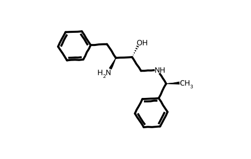 C[C@H](NC[C@@H](O)[C@@H](N)Cc1ccccc1)c1ccccc1